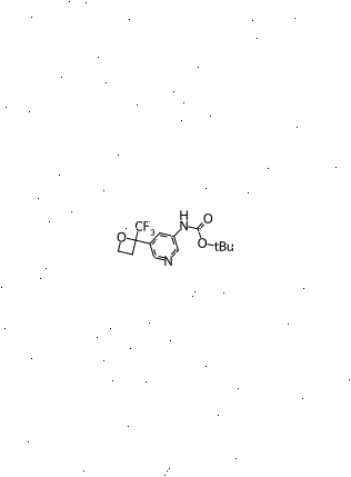 CC(C)(C)OC(=O)Nc1cncc(C2(C(F)(F)F)CCO2)c1